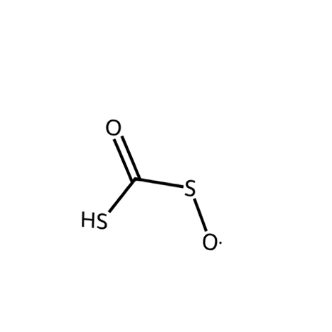 [O]SC(=O)S